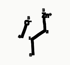 CC[CH2][Zn+].C[O-]